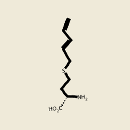 C=C/C=C/CSCC[C@H](N)C(=O)O